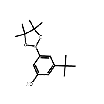 CC(C)(C)c1cc(O)cc(B2OC(C)(C)C(C)(C)O2)c1